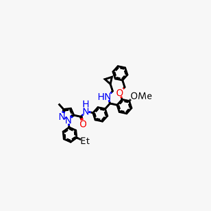 CCc1cccc(-n2nc(C)cc2C(=O)Nc2cccc(C(NCC3CC3)c3cccc(OC)c3OCc3ccccc3)c2)c1